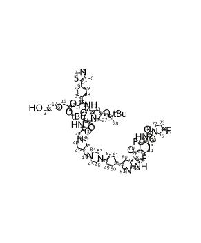 Cc1ncsc1-c1ccc([C@H](COC(=O)COCC(=O)O)NC(=O)[C@@H]2CC(O[Si](C)(C)C(C)(C)C)CN2C(=O)[C@@H](NC(=O)CN2CCC(CN3CCN(c4ccc(-c5cnc6[nH]cc(C(=O)c7c(F)ccc(NS(=O)(=O)N8CC[C@@H](F)C8)c7F)c6c5)cc4)CC3)CC2)C(C)(C)C)cc1